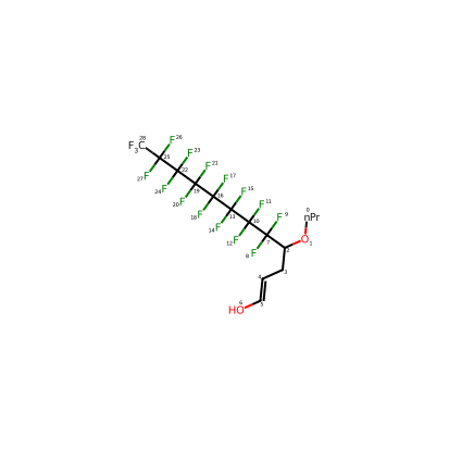 CCCOC(CC=CO)C(F)(F)C(F)(F)C(F)(F)C(F)(F)C(F)(F)C(F)(F)C(F)(F)C(F)(F)F